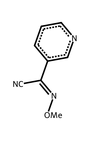 CON=C(C#N)c1cccnc1